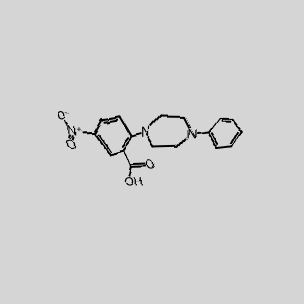 O=C(O)c1cc([N+](=O)[O-])ccc1N1CCN(c2ccccc2)CC1